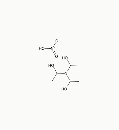 CC(O)N(C(C)O)C(C)O.O=[N+]([O-])O